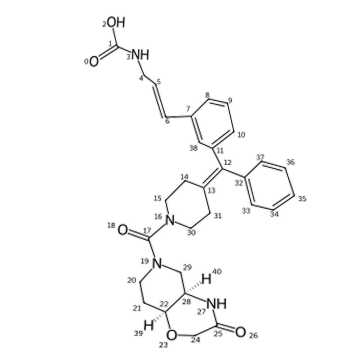 O=C(O)NC/C=C/c1cccc(C(=C2CCN(C(=O)N3CC[C@@H]4OCC(=O)N[C@@H]4C3)CC2)c2ccccc2)c1